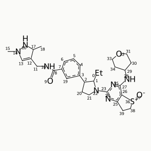 CCC1C(c2cccc(C(=O)NCC3=CN(C)NC3C)c2)CCN1c1nc2c(c(NC3CCOCC3)n1)[S+]([O-])CC2